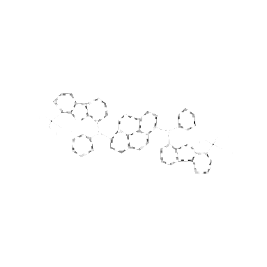 CC(C)(C)c1cccc2c1oc1c(N(c3ccccc3)c3ccc4ccc5c(N(c6ccccc6)c6cccc7c6oc6c(C(C)(C)C)cccc67)ccc6ccc3c4c65)cccc12